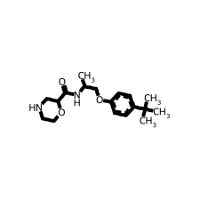 CC(COc1ccc(C(C)(C)C)cc1)NC(=O)C1CNCCO1